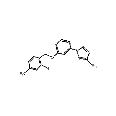 Nc1ncn(-c2ccnc(OCc3ccc(C(F)(F)F)cc3I)c2)n1